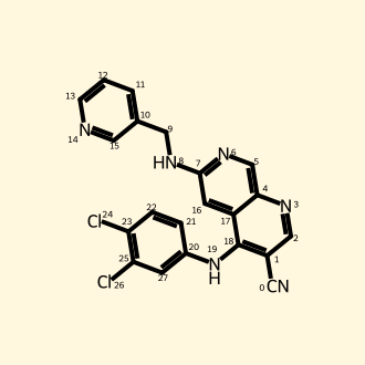 N#Cc1cnc2cnc(NCc3cccnc3)cc2c1Nc1ccc(Cl)c(Cl)c1